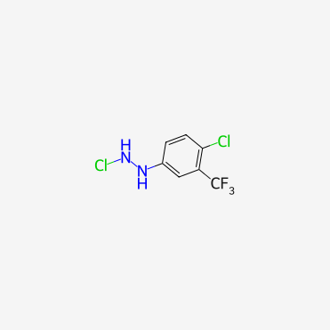 FC(F)(F)c1cc(NNCl)ccc1Cl